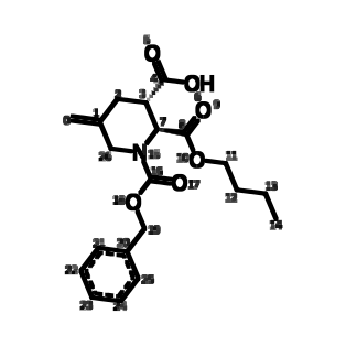 C=C1C[C@H](C(=O)O)[C@@H](C(=O)OCCCC)N(C(=O)OCc2ccccc2)C1